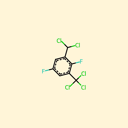 Fc1cc(C(Cl)Cl)c(F)c(C(Cl)(Cl)Cl)c1